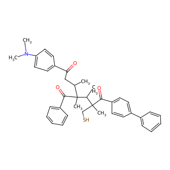 CC(CC(=O)c1ccc(N(C)C)cc1)C(C)(C(=O)c1ccccc1)C(C)C(C)(CS)C(=O)c1ccc(-c2ccccc2)cc1